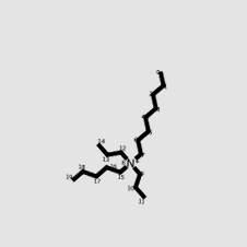 CCCCCCCC[N+](CCC)(CCC)CCCCC